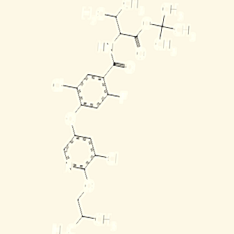 CC(C)COc1ncc(Oc2cc(F)c(C(=O)NC(C(=O)OC(C)(C)C)C(C)C)cc2Cl)cc1Cl